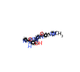 CN1CCN(CCc2ccc(NC(=O)c3ccc4[nH]c(-c5cc(NC(=O)c6cccnc6)ccc5O)nc4c3)cc2)CC1